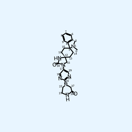 CN(C)[C@]1(c2ccccc2)CC[C@@]2(CC1)CN(c1cnc(N3CCNC(=O)C3)nc1)C(=O)N2